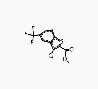 COC(=O)c1sc2ccc(C(F)(F)F)cc2c1Cl